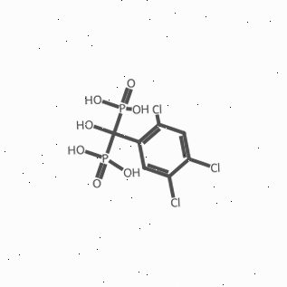 O=P(O)(O)C(O)(c1cc(Cl)c(Cl)cc1Cl)P(=O)(O)O